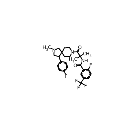 CN1CC(c2ccc(F)cc2)C2(CCN(C(=O)C(C)(C)NC(=O)c3cc(C(F)(F)F)ccc3F)CC2)C1